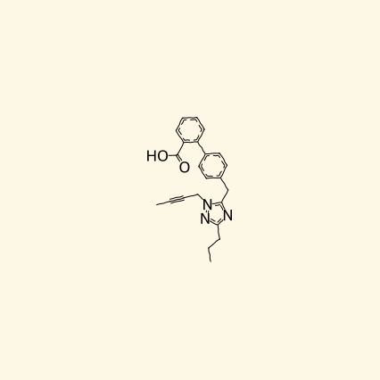 CC#CCn1nc(CCC)nc1Cc1ccc(-c2ccccc2C(=O)O)cc1